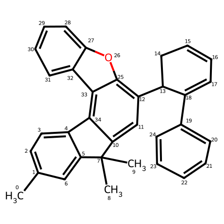 Cc1ccc2c(c1)C(C)(C)c1cc(C3CC=CC=C3c3ccccc3)c3oc4ccccc4c3c1-2